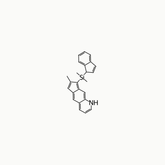 Cc1cc2cc3ccc[nH]c3cc2c1[Si](C)(C)C1C=Cc2ccccc21